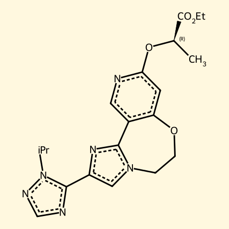 CCOC(=O)[C@@H](C)Oc1cc2c(cn1)-c1nc(-c3ncnn3C(C)C)cn1CCO2